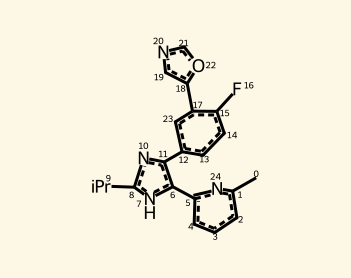 Cc1cccc(-c2[nH]c(C(C)C)nc2-c2ccc(F)c(-c3cnco3)c2)n1